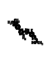 CC(C)S(=O)(=O)c1ccc(-c2cnc(N)c(-c3nnc(-c4ccc(CNC[C@@H](C)O)cc4F)o3)n2)cc1